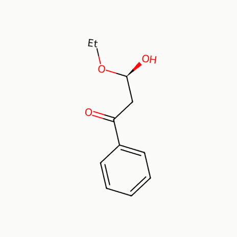 CCO[C@@H](O)CC(=O)c1ccccc1